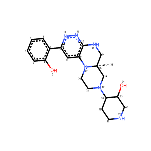 Oc1ccccc1-c1cc2c(nn1)NC[C@H]1CN(C3CCNCC3O)CCN21